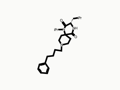 CC(C)C[C@@H]1NC(=O)C2(CCN(CCCCc3ccccc3)CC2)N(C(C)C)C1=O